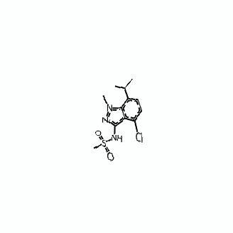 CC(C)c1ccc(Cl)c2c(NS(C)(=O)=O)nn(C)c12